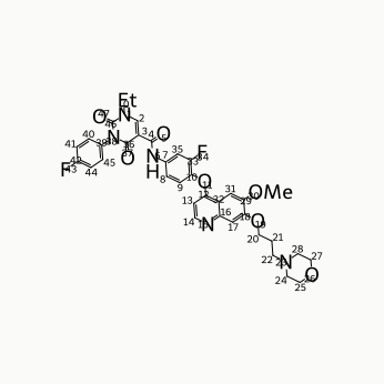 CCn1cc(C(=O)Nc2ccc(Oc3ccnc4cc(OCCCN5CCOCC5)c(OC)cc34)c(F)c2)c(=O)n(-c2ccc(F)cc2)c1=O